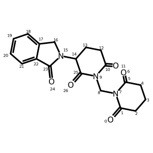 O=C1CCCC(=O)N1CN1C(=O)CCC(N2Cc3ccccc3C2=O)C1=O